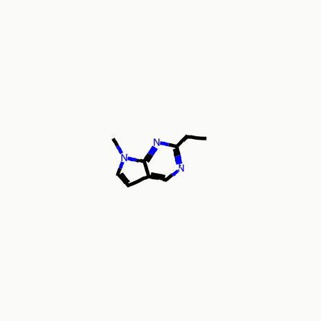 CCc1ncc2ccn(C)c2n1